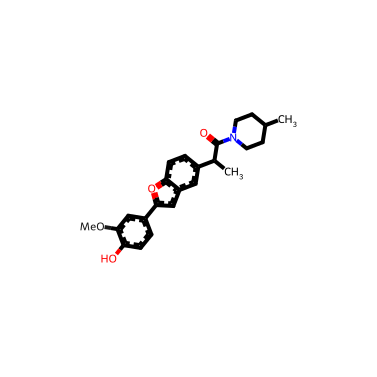 COc1cc(-c2cc3cc(C(C)C(=O)N4CCC(C)CC4)ccc3o2)ccc1O